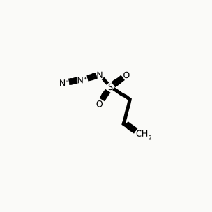 C=CCS(=O)(=O)N=[N+]=[N-]